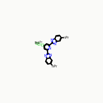 CCCC1=CC2=NC(c3cccc(C4=NC5C=CC(CCC)=CC5=N4)n3)=NC2C=C1.[Cl-].[Cl-].[Cl-].[Nd+3]